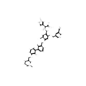 Cc1c(COc2cc(OCc3cncc(C#N)c3)c(CNC(C(=O)O)c3cnn(C)c3)cc2Cl)cccc1-c1cccc(OCC2CCCN(C)C2)c1Cl